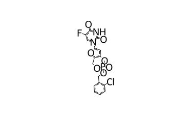 O=c1[nH]c(=O)n(-c2cc3c(o2)COP(=O)(OCc2ccccc2Cl)O3)cc1F